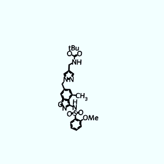 COc1ccccc1S(=O)(=O)Nc1noc2cc(Cn3cc(CNC(=O)OC(C)(C)C)cn3)cc(C)c12